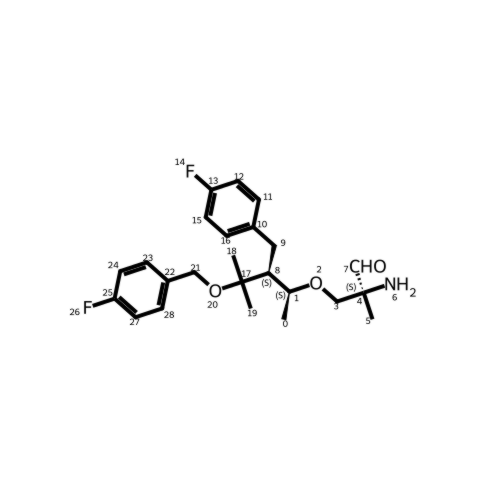 C[C@H](OC[C@](C)(N)C=O)[C@H](Cc1ccc(F)cc1)C(C)(C)OCc1ccc(F)cc1